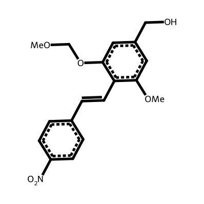 COCOc1cc(CO)cc(OC)c1/C=C/c1ccc([N+](=O)[O-])cc1